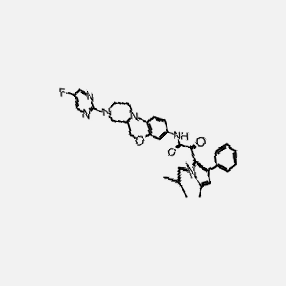 Cc1cc(-c2ccccc2)c(C(=O)C(=O)Nc2ccc3c(c2)OCC2CN(c4ncc(F)cn4)CCN32)n1CC(C)C